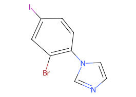 Brc1cc(I)ccc1-n1ccnc1